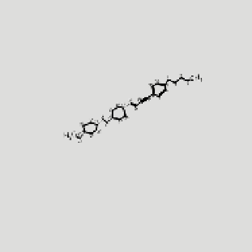 CCCCCc1ccc(C#CC=C[C@H]2CC[C@H](CC[C@H]3CC[C@H](CC)CC3)CC2)cc1